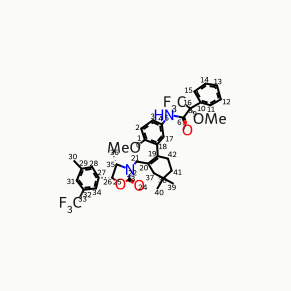 COc1ccc(NC(=O)[C@](OC)(c2ccccc2)C(F)(F)F)cc1C1=C(CN2C(=O)O[C@H](c3cc(C)cc(C(F)(F)F)c3)[C@@H]2C)CC(C)(C)CC1